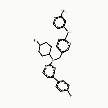 Cc1cc(Nc2ccc(CN(c3nccc(-c4ccc(C(F)(F)F)cc4)n3)C3CCN(C(C)C)CC3)cn2)ccn1